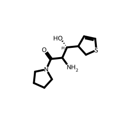 NC(C(=O)N1CCCC1)[C@H](O)C1C=CSC1